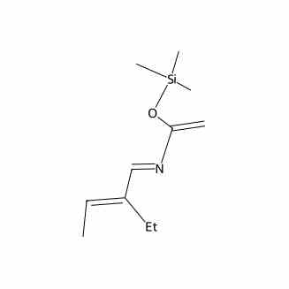 C=C(/N=C/C(=C/C)CC)O[Si](C)(C)C